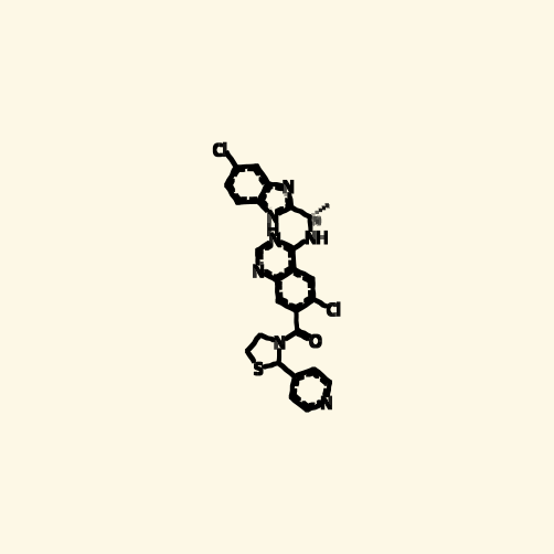 C[C@H](Nc1ncnc2cc(C(=O)N3CCSC3c3ccncc3)c(Cl)cc12)c1nc2cc(Cl)ccc2[nH]1